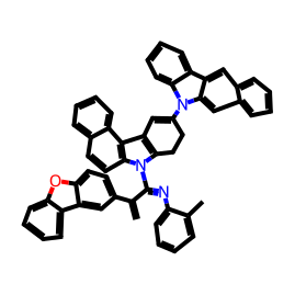 C=C(/C(=N\c1ccccc1C)n1c2c(c3c4ccccc4ccc31)C=C(n1c3ccccc3c3cc4ccccc4cc31)CC2)c1ccc2oc3ccccc3c2c1